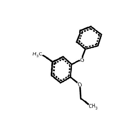 CCOc1ccc(C)cc1Oc1ccccc1